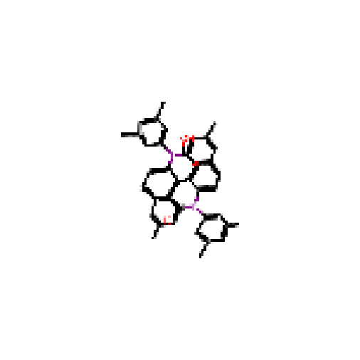 Cc1cc(C)cc(P(c2cc(C)cc(C)c2)c2cccc(CO)c2-c2c(CO)cccc2P(c2cc(C)cc(C)c2)c2cc(C)cc(C)c2)c1